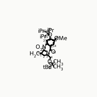 C=C1CC(CO[Si](C)(C)C(C)(C)C)N(C(=O)c2cc(OC)c(O[Si](C(C)C)(C(C)C)C(C)C)cc2[N+](=O)[O-])C1